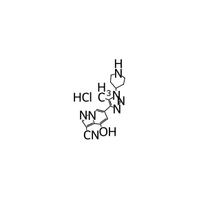 Cc1c(-c2cc(O)c3c(C#N)cnn3c2)nnn1C1CCNCC1.Cl